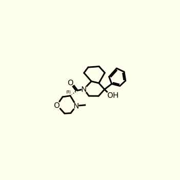 CN1CCOC[C@@H]1C(=O)N1CCC(O)(c2ccccc2)C2CCCCC21